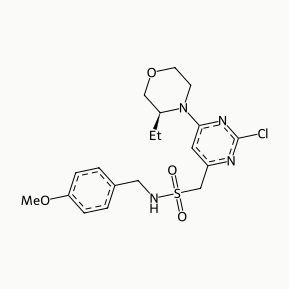 CC[C@H]1COCCN1c1cc(CS(=O)(=O)NCc2ccc(OC)cc2)nc(Cl)n1